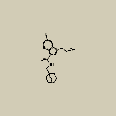 O=C(NCC12CCC(CC1)CC2)c1cn(CCO)c2cc(Br)ccc12